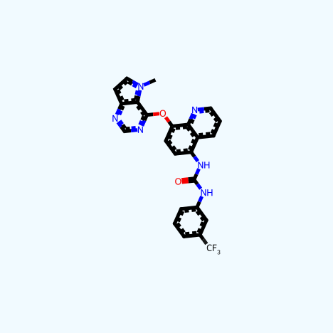 Cn1ccc2ncnc(Oc3ccc(NC(=O)Nc4cccc(C(F)(F)F)c4)c4cccnc34)c21